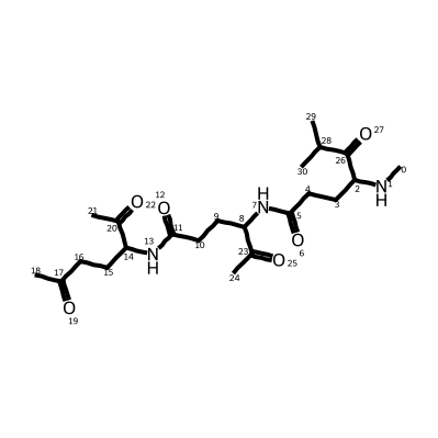 CNC(CCC(=O)NC(CCC(=O)NC(CCC(C)=O)C(C)=O)C(C)=O)C(=O)C(C)C